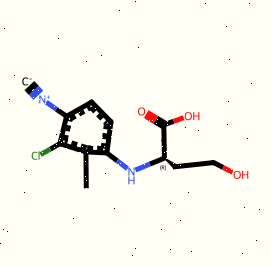 [C-]#[N+]c1ccc(N[C@H](CCO)C(=O)O)c(C)c1Cl